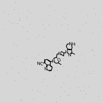 Cc1nn(C2CN(CC3CN(c4ccc(C#N)c5ncccc45)CC(C)O3)C2)c2c1CNCC2